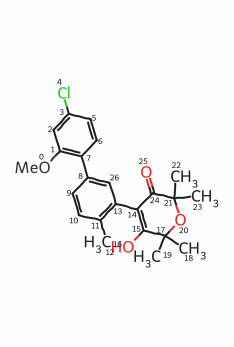 COc1cc(Cl)ccc1-c1ccc(C)c(C2=C(O)C(C)(C)OC(C)(C)C2=O)c1